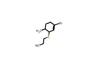 CC(C)C1=CC(SCCC#N)C(C)CC1